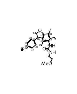 COCCNC(=O)Nc1c(C)c(C)c2c(c1C)C(c1ccc(C(C)C)cc1)CO2